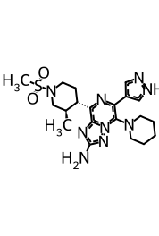 C[C@H]1CN(S(C)(=O)=O)CC[C@@H]1c1nc(-c2cn[nH]c2)c(N2CCCCC2)n2nc(N)nc12